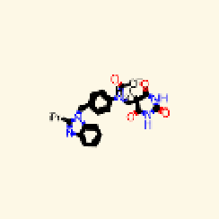 CC(C)c1nc2ccccc2n1Cc1ccc(N(CC2(C)C(=O)NC(=O)NC2=O)C(=O)C(F)(F)F)cc1